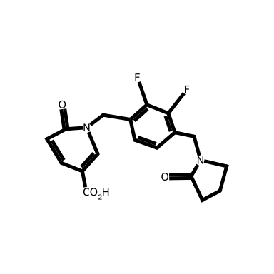 O=C(O)c1ccc(=O)n(Cc2ccc(CN3CCCC3=O)c(F)c2F)c1